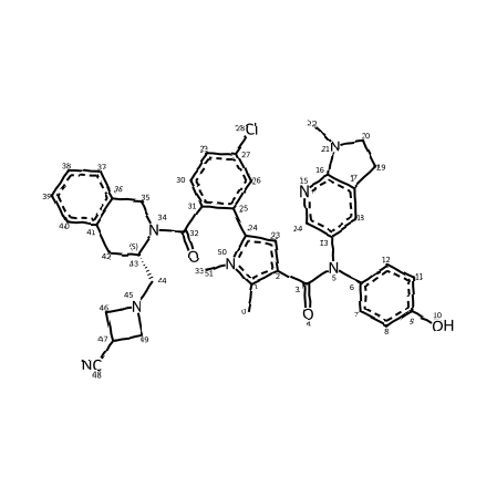 Cc1c(C(=O)N(c2ccc(O)cc2)c2cnc3c(c2)CCN3C)cc(-c2cc(Cl)ccc2C(=O)N2Cc3ccccc3C[C@H]2CN2CC(C#N)C2)n1C